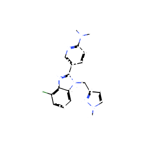 CCN(CC)c1ccc(-c2nc3c(Cl)cccc3n2Cc2ccn(CC)n2)cn1